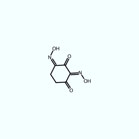 O=C1CCC(=NO)C(=O)C1=NO